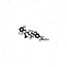 CNC(=O)Nc1ccc2c(c1)CC[C@@]21OC(=O)N(CC(=O)N(Cc2ccccc2Cl)[C@@H](C)C2CC2)C1=O